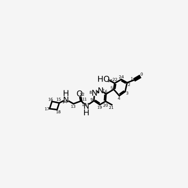 C#Cc1ccc(-c2nnc(NC(=O)CNC3CCC3)cc2C)c(O)c1